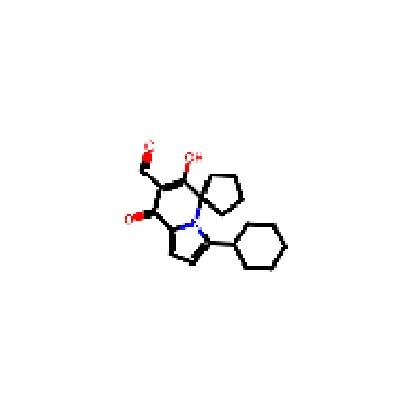 O=CC1=C(O)C2(CCCC2)n2c(ccc2C2CCCCC2)C1=O